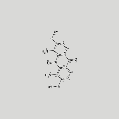 CC(C)Cc1ccc2c(c1N)C(=O)c1c(ccc(CC(C)C)c1N)C2=O